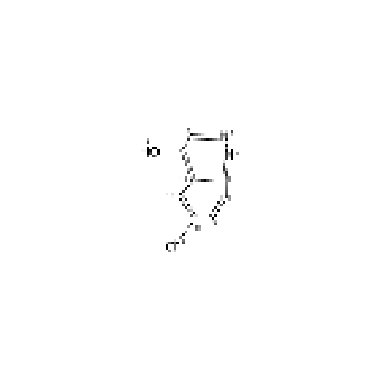 Oc1cnnc2ccc(Cl)cc12